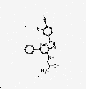 CC(C)CNc1cc(-c2ccccc2)nn2c(-c3ccc(C#N)c(F)c3)cnc12